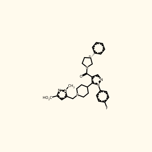 Cn1nc(C(=O)O)cc1CN1CCC(c2c(C(=O)N3CC[C@H](c4ccccc4)C3)cnn2-c2ccc(F)cc2)CC1